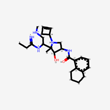 CCC(=N)NC(CNC)C1(C)C(O)C(NC(=O)c2cccc3c2CCCC3)CN1C1C=CC1